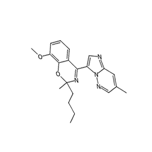 CCCCC1(C)N=C(c2cnc3cc(C)cnn23)c2cccc(OC)c2O1